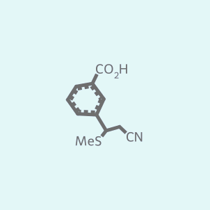 CSC(CC#N)c1cccc(C(=O)O)c1